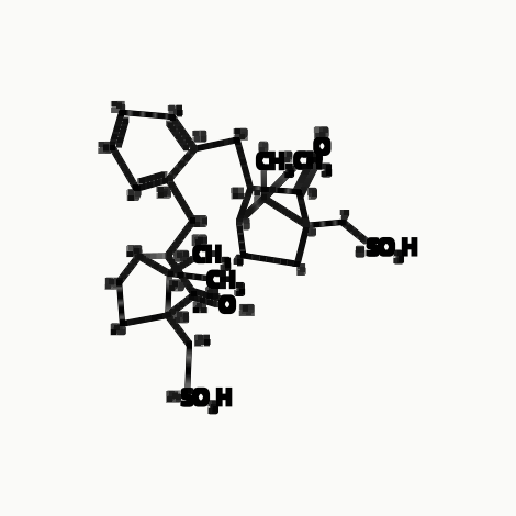 CC1(C)C2CCC1(CS(=O)(=O)O)C(=O)C2Cc1ccccc1CC1C(=O)C2(CS(=O)(=O)O)CCC1C2(C)C